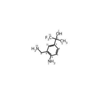 CC(O)(c1ccc(N)c(CN)c1)C(F)(F)F